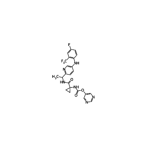 CC(NC(=O)C1(NC(=O)Oc2cncnc2)CC1)c1ccc(Nc2ccc(F)cc2C(F)(F)F)cn1